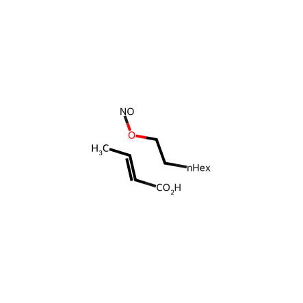 C/C=C/C(=O)O.CCCCCCCCON=O